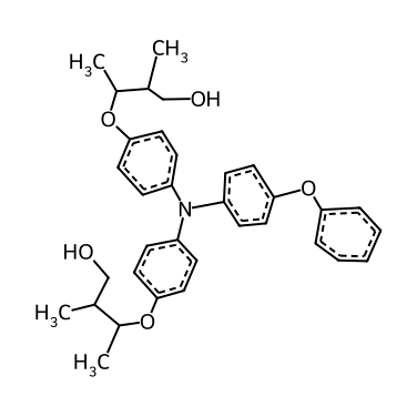 CC(CO)C(C)Oc1ccc(N(c2ccc(Oc3ccccc3)cc2)c2ccc(OC(C)C(C)CO)cc2)cc1